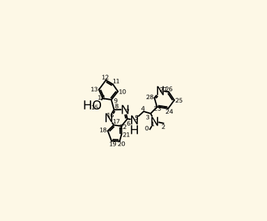 CN(C)C(CNc1nc(-c2ccccc2O)nc2ccccc12)c1cccnc1